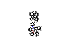 C#Cc1ccc(N(c2ccc(-c3ccc4c(c3)C3(c5ccccc5-c5ccccc53)c3ccccc3-4)cc2)C2CC=Cc3c2oc2c(-c4ccccc4)cccc32)cc1/C=C\C